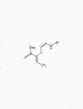 C/C=C(\C/C=C\NC(C)C)C(=O)OC